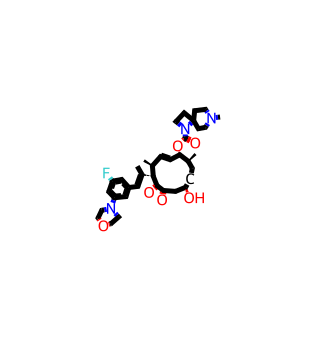 C/C(=C\c1cc(F)cc(N2CCOCC2)c1)[C@H]1C(=O)C(=O)C[C@H](O)CC[C@H](C)[C@@H](OC(=O)N2CCC23CCN(C)CC3)/C=C/[C@@H]1C